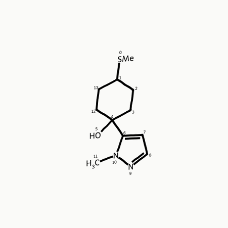 CSC1CCC(O)(c2ccnn2C)CC1